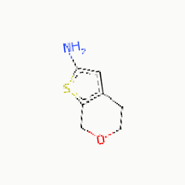 Nc1cc2c(s1)COCC2